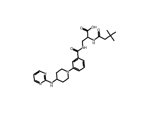 CC(C)(C)CC(=O)NC(CNC(=O)c1cccc(N2CCC(Nc3ncccn3)CC2)c1)C(=O)O